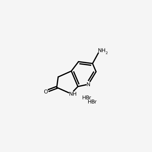 Br.Br.Nc1cnc2c(c1)CC(=O)N2